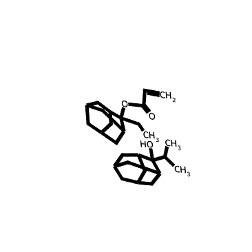 C=CC(=O)OC1(CC)C2CC3CC(C2)CC1C3.CC(C)C1(O)C2CC3CC(C2)CC1C3